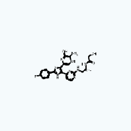 C[C@H](CNc1nccc(-c2[nH]c(-c3ccc(F)cc3)nc2C2=CNC(N)C(O)=N2)n1)NC(=O)CO